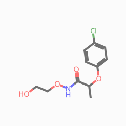 CC(Oc1ccc(Cl)cc1)C(=O)NOCCO